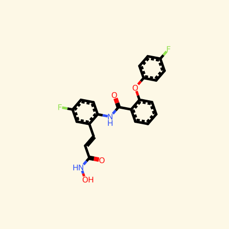 O=C(C=Cc1cc(F)ccc1NC(=O)c1ccccc1Oc1ccc(F)cc1)NO